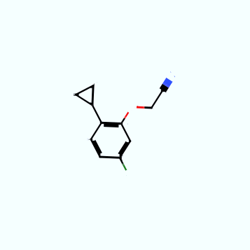 N#CCOc1cc(Cl)ccc1C1CC1